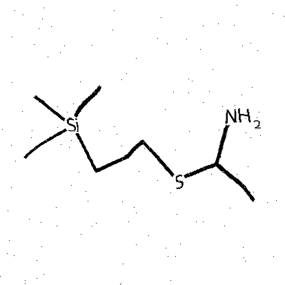 CC(N)SCC[Si](C)(C)C